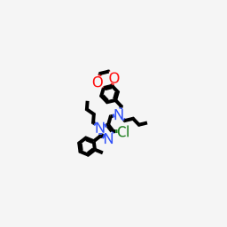 CCCCN(Cc1ccc2c(c1)OCCO2)Cc1c(Cl)nc(-c2ccccc2C)n1CCCC